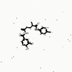 C=C(CCC(C)C(=O)Nc1ccc(F)nc1)NC(=O)c1ccc(Cl)c(Cl)c1